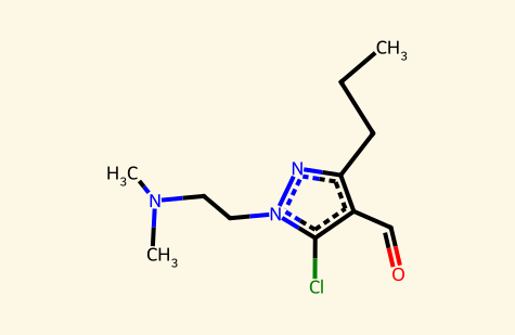 CCCc1nn(CCN(C)C)c(Cl)c1C=O